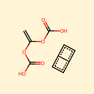 C=C(OC(=O)O)OC(=O)O.c1cc2ccc1-2